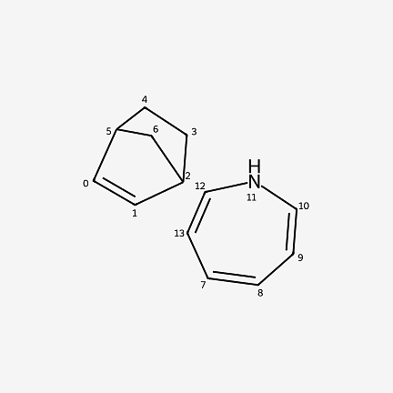 C1=CC2CCC1C2.C1=CC=CNC=C1